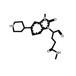 CNC(=O)CCC(C=O)n1c(=O)n(C)c2cc(C3CCNCC3)ccc21